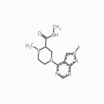 CNC(=O)C1CN(c2ncnc3nn(I)cc23)CCN1C